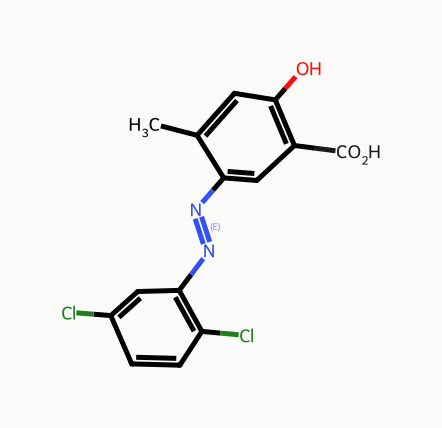 Cc1cc(O)c(C(=O)O)cc1/N=N/c1cc(Cl)ccc1Cl